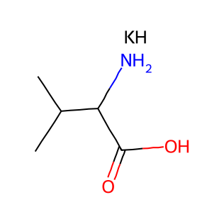 CC(C)C(N)C(=O)O.[KH]